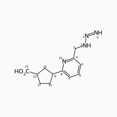 N=NNCc1cccc(C2CCC(C(=O)O)C2)n1